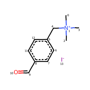 C[N+](C)(C)Cc1ccc(C=O)cc1.[I-]